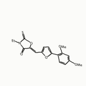 CCN1C(=O)/C(=C/c2ccc(-c3ccc(OC)cc3OC)o2)OC1=S